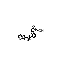 O=C1CC2Cc3c(-c4noc(-c5cn6cccnc6n5)n4)cccc3C2N1CCO